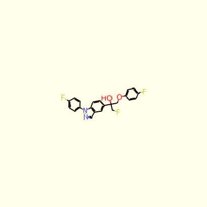 OC(CF)(COc1ccc(F)cc1)c1ccc2c(cnn2-c2ccc(F)cc2)c1